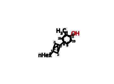 CCCCCCC1CC2CC1CC2c1ccc(O)c(C)c1